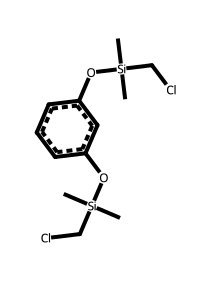 C[Si](C)(CCl)Oc1cccc(O[Si](C)(C)CCl)c1